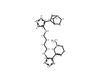 CN1CCC=C(c2nsnc2SCCCCSc2nsnc2C2CN3CCC2C3)C1